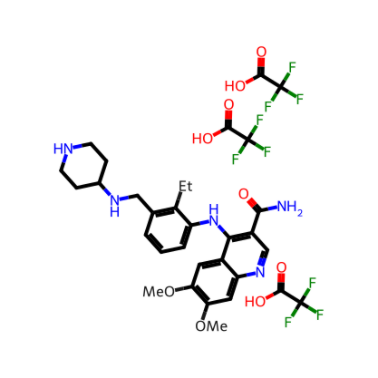 CCc1c(CNC2CCNCC2)cccc1Nc1c(C(N)=O)cnc2cc(OC)c(OC)cc12.O=C(O)C(F)(F)F.O=C(O)C(F)(F)F.O=C(O)C(F)(F)F